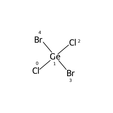 [Cl][Ge]([Cl])([Br])[Br]